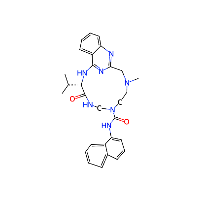 CC(C)[C@@H]1Nc2nc(nc3ccccc23)CN(C)CCN(C(=O)Nc2cccc3ccccc23)CNC1=O